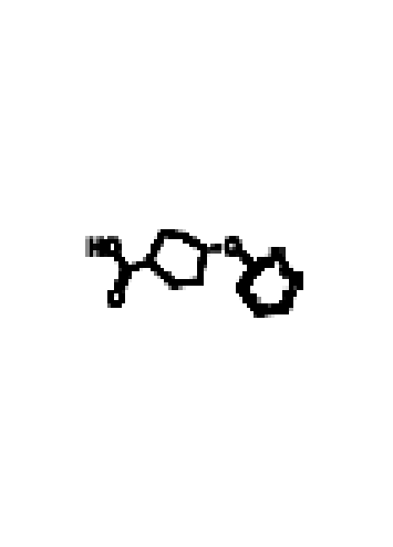 O=C(O)[C@H]1CC[C@H](Oc2cccnn2)CC1